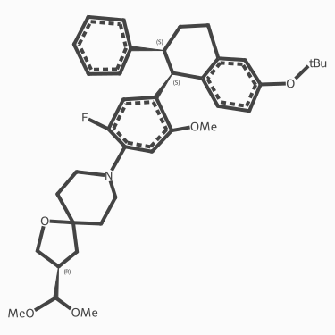 COc1cc(N2CCC3(CC2)C[C@@H](C(OC)OC)CO3)c(F)cc1[C@@H]1c2ccc(OC(C)(C)C)cc2CC[C@@H]1c1ccccc1